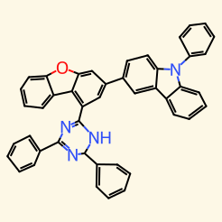 c1ccc(C2=NC(c3ccccc3)NC(c3cc(-c4ccc5c(c4)c4ccccc4n5-c4ccccc4)cc4oc5ccccc5c34)=N2)cc1